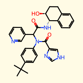 CC(C)(C)c1ccc(N(C(=O)c2c[nH]cn2)C(C(=O)N[C@H]2c3ccccc3CC[C@@H]2O)c2cccnc2)cc1